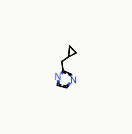 c1cnc(CC2CC2)cn1